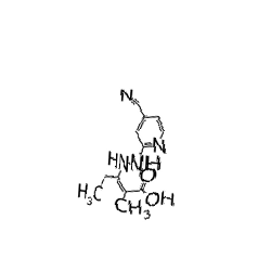 CCC(NNc1cc(C#N)ccn1)=C(C)C(=O)O